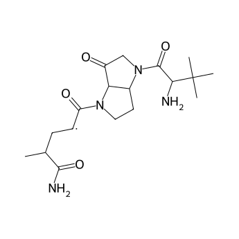 CC(C[CH]C(=O)N1CCC2C1C(=O)CN2C(=O)C(N)C(C)(C)C)C(N)=O